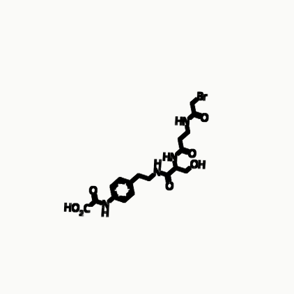 O=C(CBr)NCCC(=O)NC(CO)C(=O)NCCc1ccc(NC(=O)C(=O)O)cc1